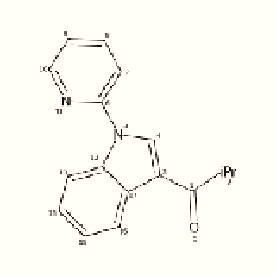 CC(C)C(=O)c1cn(-c2ccccn2)c2ccccc12